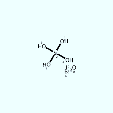 O.O[Si](O)(O)O.[B]